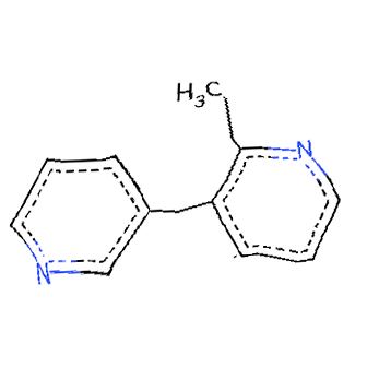 Cc1ncc[c]c1-c1cccnc1